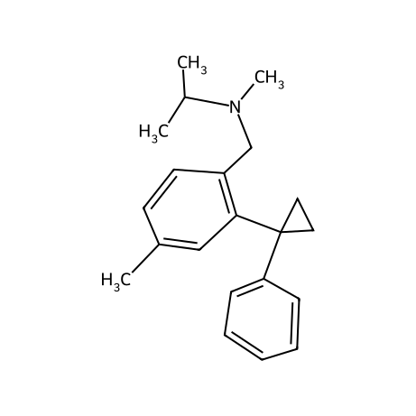 Cc1ccc(CN(C)C(C)C)c(C2(c3ccccc3)CC2)c1